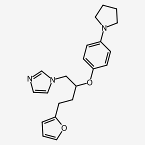 c1coc(CCC(Cn2ccnc2)Oc2ccc(N3CCCC3)cc2)c1